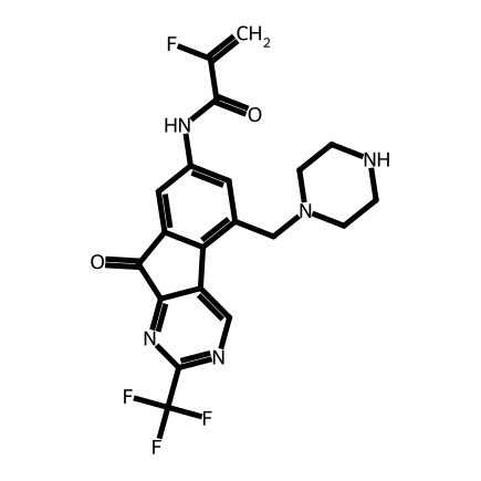 C=C(F)C(=O)Nc1cc(CN2CCNCC2)c2c(c1)C(=O)c1nc(C(F)(F)F)ncc1-2